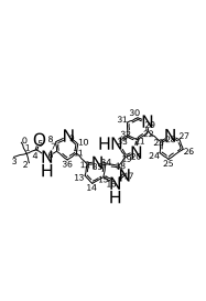 CC(C)(C)C(=O)Nc1cncc(-c2ccc3[nH]nc(-c4nc5c(-c6ccccn6)nccc5[nH]4)c3n2)c1